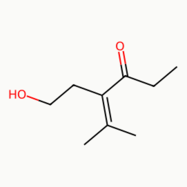 CCC(=O)C(CCO)=C(C)C